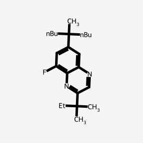 CCCCC(C)(CCCC)c1cc(F)c2nc(C(C)(C)CC)cnc2c1